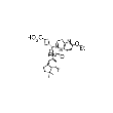 CCOc1ccc2c(n1)CCN(C(=O)[C@H]1C[C@H](C(=O)O)C1)[C@H]2C(=O)Nc1cc(F)c2c(c1)CCC2(C)C